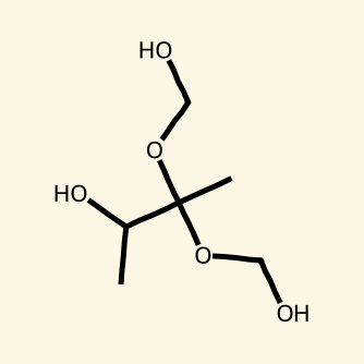 CC(O)C(C)(OCO)OCO